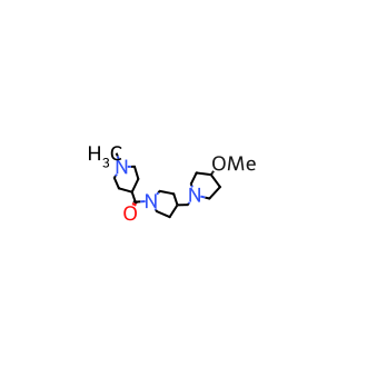 COC1CCN(CC2CCN(C(=O)C3CCN(C)CC3)CC2)CC1